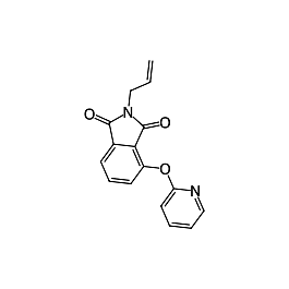 C=CCN1C(=O)c2cccc(Oc3ccccn3)c2C1=O